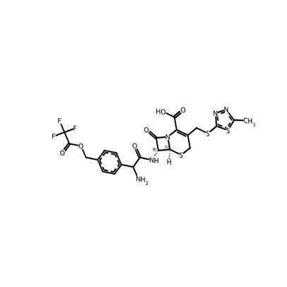 Cc1nnc(SCC2=C(C(=O)O)N3C(=O)[C@@H](NC(=O)C(N)c4ccc(COC(=O)C(F)(F)F)cc4)[C@@H]3SC2)s1